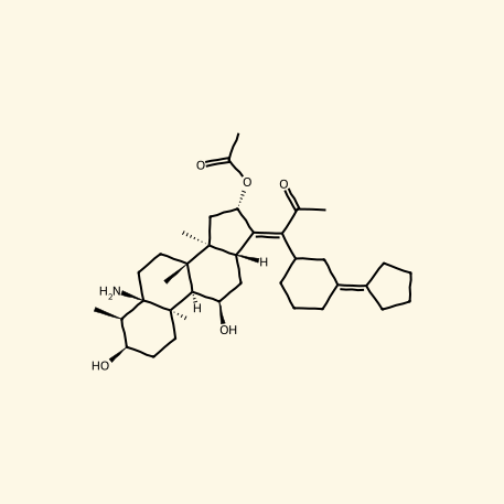 CC(=O)O[C@H]1C[C@@]2(C)[C@@H](C[C@@H](O)[C@@H]3[C@]2(C)CC[C@@]2(N)[C@H](C)[C@H](O)CC[C@]32C)/C1=C(/C(C)=O)C1CCCC(=C2CCCC2)C1